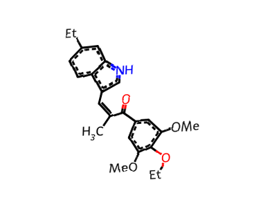 CCOc1c(OC)cc(C(=O)C(C)=Cc2c[nH]c3cc(CC)ccc23)cc1OC